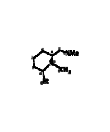 CCC1CCCC(CNC)N1C